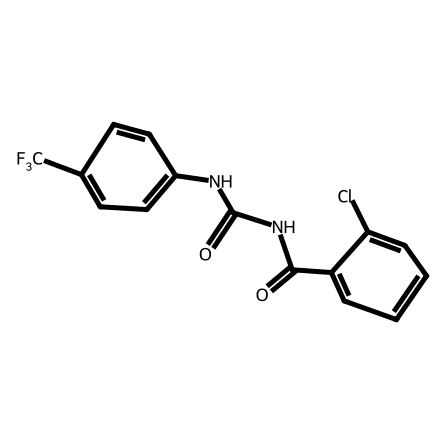 O=C(NC(=O)c1ccccc1Cl)Nc1ccc(C(F)(F)F)cc1